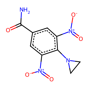 NC(=O)c1cc([N+](=O)[O-])c(N2CC2)c([N+](=O)[O-])c1